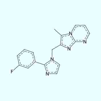 Cc1c(Cn2ccnc2-c2cccc(F)c2)nc2ncccn12